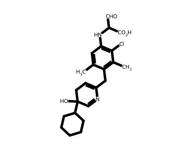 Cc1cc(NC(C=O)C(=O)O)c(Cl)c(C)c1CC1=CCC(O)(C2CCCCC2)C=N1